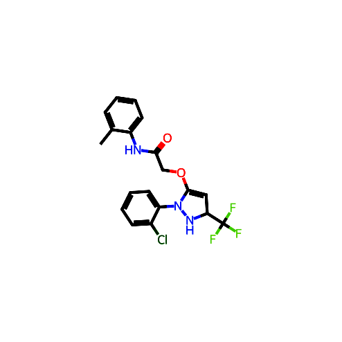 Cc1ccccc1NC(=O)COC1=CC(C(F)(F)F)NN1c1ccccc1Cl